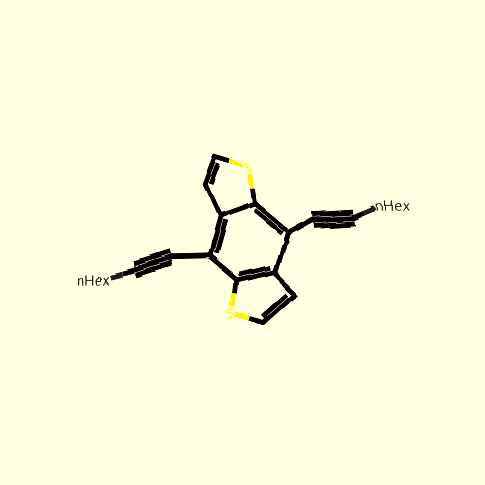 CCCCCCC#Cc1c2ccsc2c(C#CCCCCCC)c2ccsc12